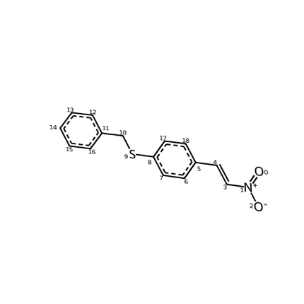 O=[N+]([O-])C=Cc1ccc(SCc2ccccc2)cc1